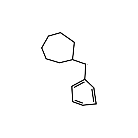 [CH](c1ccccc1)C1CCCCCC1